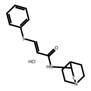 Cl.O=C(C=CSc1ccccc1)NC1CN2CCC1CC2